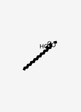 CCCCCCCCCCCCCCCC(O)CC(=O)OCC